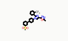 Cc1nnc(-c2cn(-c3ccc(-c4cccc(S(C)(=O)=O)c4)cc3)c(-c3ccccc3C(F)(F)F)n2)o1